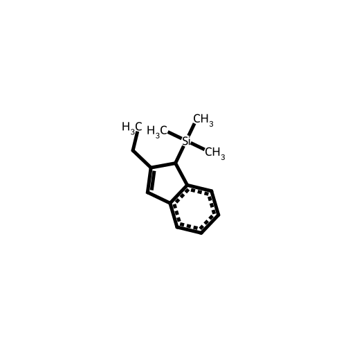 CCC1=Cc2ccccc2C1[Si](C)(C)C